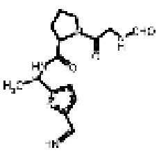 C[C@@H](NC(=O)C1CCCN1C(=O)CNC=O)c1ccc(C=N)s1